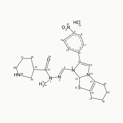 CN(N=CN1C(c2ccc([N+](=O)[O-])cc2)=CN2C3=C(CCCC3)SC12)C(=O)C1CCCNC1.Cl